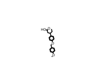 CCC(CC(=O)O)c1ccc(OCc2ccc(OC)cc2)cc1